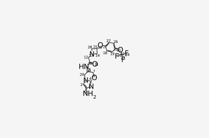 Nc1cn2c(n1)OC[C@@H](NC(=O)CN1CC(Oc3ccc(OC(F)(F)F)cc3)C1)C2